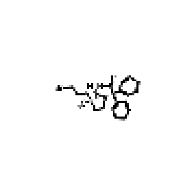 C[N+]1(CCCBr)CC[C@@H](C(C(N)=O)(c2ccccc2)c2ccccc2)C1